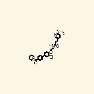 Nc1ccc(/C=C/C(=O)NCCOc2ccc(-c3ccc(C(=O)N4CCCCC4)cc3)cc2Cl)cn1